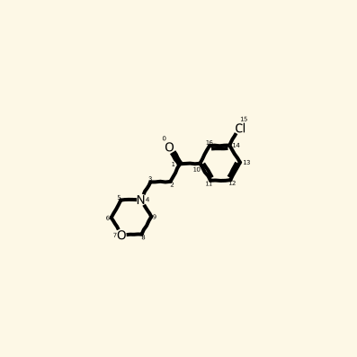 O=C(CCN1CCOCC1)c1cccc(Cl)c1